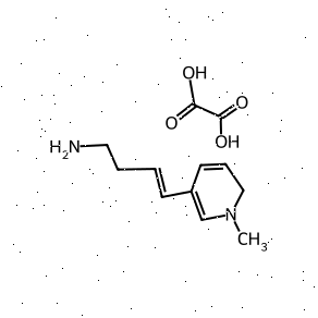 CN1C=C(/C=C/CCN)C=CC1.O=C(O)C(=O)O